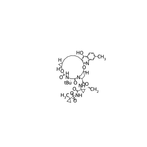 C=C[C@@H]1C[C@]1(NC(=O)[C@@H]1C[C@@H]2CN1C(=O)[C@H](C(C)(C)C)NC(=O)O[C@@H]1C[C@H]1CCCCCc1c(nc3cc(C)ccc3c1O)O2)C(=O)NS(=O)(=O)C1(C)CC1